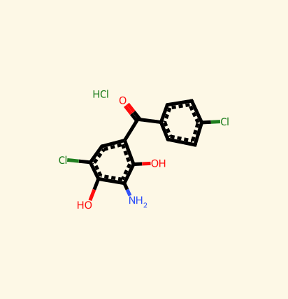 Cl.Nc1c(O)c(Cl)cc(C(=O)c2ccc(Cl)cc2)c1O